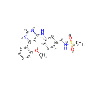 COc1ccccc1-c1cc(Nc2cccc(CNS(C)(=O)=O)c2)ncn1